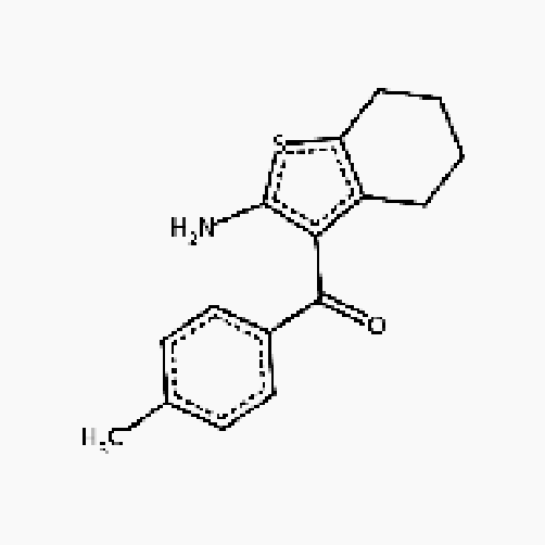 Cc1ccc(C(=O)c2c(N)sc3c2CCCC3)cc1